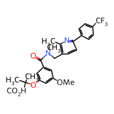 COc1cc(OC(C)(C)C(=O)O)cc(C(=O)N(C)Cc2ccc(-c3ccc(C(F)(F)F)cc3)nc2C)c1